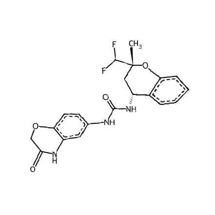 C[C@]1(C(F)F)C[C@@H](NC(=O)Nc2ccc3c(c2)NC(=O)CO3)c2ccccc2O1